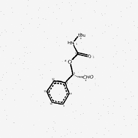 CC(C)(C)NC(=O)O[C@H](C=O)c1ccccc1